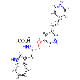 O=C(O)N[C@H](COc1cncc(C=Cc2ccncc2)c1)Cc1c[nH]c2ccccc12